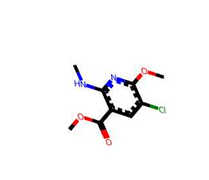 CNc1nc(OC)c(Cl)cc1C(=O)OC